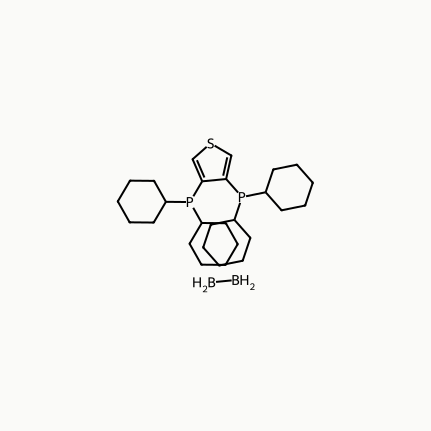 BB.c1scc(P(C2CCCCC2)C2CCCCC2)c1P(C1CCCCC1)C1CCCCC1